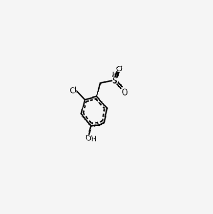 O=[SH](=O)Cc1ccc(O)cc1Cl